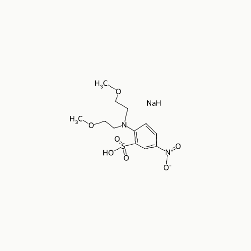 COCCN(CCOC)c1ccc([N+](=O)[O-])cc1S(=O)(=O)O.[NaH]